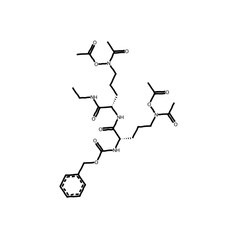 CCNC(=O)[C@H](CCCN(OC(C)=O)C(C)=O)NC(=O)[C@H](CCCN(OC(C)=O)C(C)=O)NC(=O)OCc1ccccc1